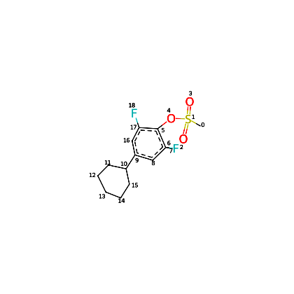 CS(=O)(=O)Oc1c(F)cc(C2CCCCC2)cc1F